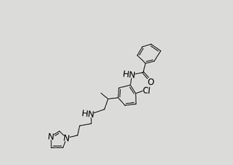 CC(CNCCCn1ccnc1)c1ccc(Cl)c(NC(=O)c2ccccc2)c1